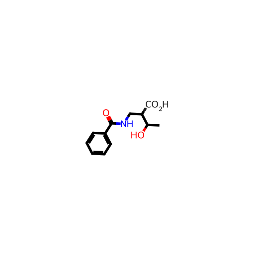 CC(O)C(CNC(=O)c1ccccc1)C(=O)O